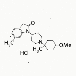 COC1CCC(C)(N2CCC(N3C(=O)Cc4ccc(C)cc43)CC2)CC1.Cl